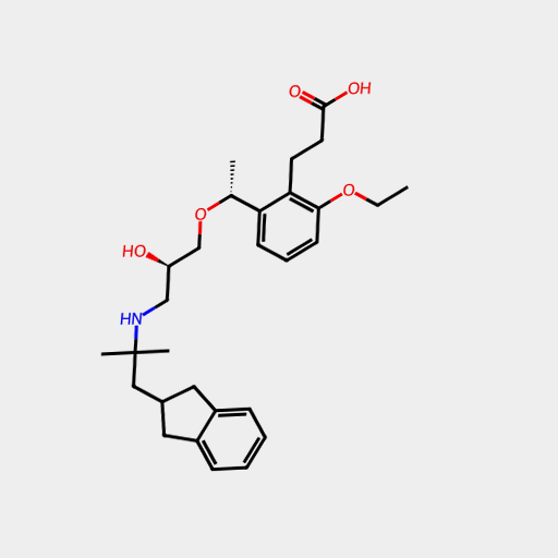 CCOc1cccc([C@@H](C)OC[C@H](O)CNC(C)(C)CC2Cc3ccccc3C2)c1CCC(=O)O